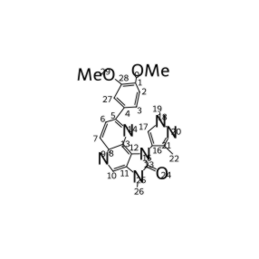 COc1ccc(-c2ccc3ncc4c(c3n2)n(-c2cn(C)nc2C)c(=O)n4C)cc1OC